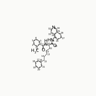 Cc1ccccc1C(=O)NC(CCCCCc1ccccc1)C(=O)Nc1cccc2cnccc12